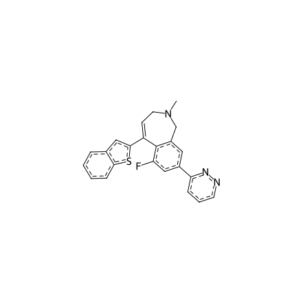 CN1CC=C(c2cc3ccccc3s2)c2c(F)cc(-c3cccnn3)cc2C1